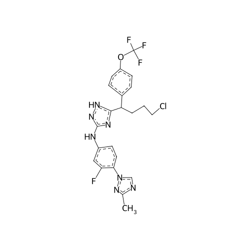 Cc1ncn(-c2ccc(Nc3n[nH]c(C(CCCCl)c4ccc(OC(F)(F)F)cc4)n3)cc2F)n1